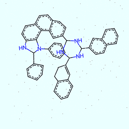 C1=C(C2NC(c3ccc4ccccc4c3)NC(c3ccc4ccc5ccc6c(c5c4c3)N(c3ccccc3)C(c3ccccc3)N6)N2)CCc2ccccc21